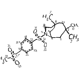 CC1(C)CC2CC(C)(CN2S(=O)(=O)c2ccc(S(C)(=O)=O)cc2)C1